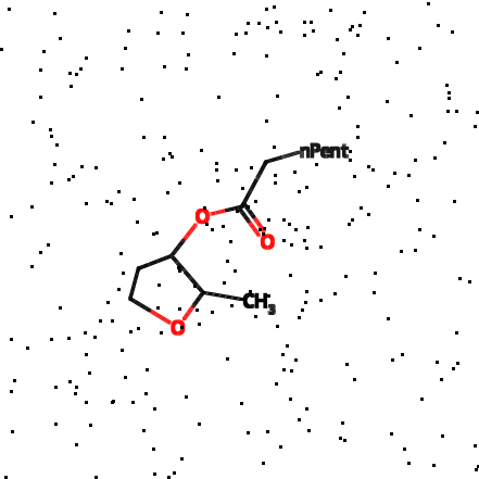 CCCCCCC(=O)OC1CCOC1C